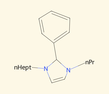 CCCCCCCN1C=CN(CCC)C1c1ccccc1